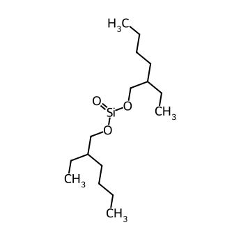 CCCCC(CC)CO[Si](=O)OCC(CC)CCCC